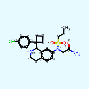 CCCS(=O)(=O)N(CC(N)=O)c1ccc2c(c1)C(C1(c3ccc(Cl)cc3)CCC1)NCC2